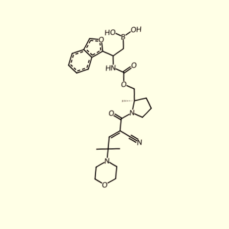 CC(C)(C=C(C#N)C(=O)N1CCC[C@]1(C)COC(=O)NC(CB(O)O)c1occ2ccccc12)N1CCOCC1